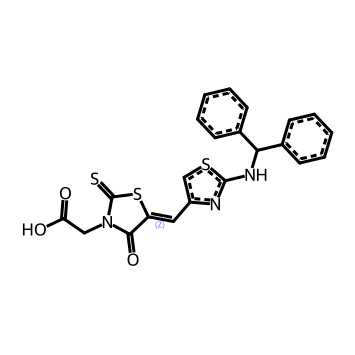 O=C(O)CN1C(=O)/C(=C/c2csc(NC(c3ccccc3)c3ccccc3)n2)SC1=S